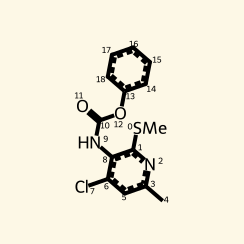 CSc1nc(C)cc(Cl)c1NC(=O)Oc1ccccc1